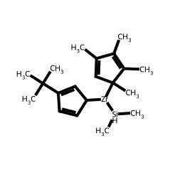 CC1=C[C](C)([Zr]([CH]2C=CC(C(C)(C)C)=C2)[SiH](C)C)C(C)=C1C